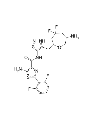 Nc1sc(-c2c(F)cccc2F)nc1C(=O)Nc1cn[nH]c1CC1CC(F)(F)CC(N)CO1